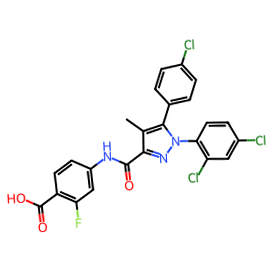 Cc1c(C(=O)Nc2ccc(C(=O)O)c(F)c2)nn(-c2ccc(Cl)cc2Cl)c1-c1ccc(Cl)cc1